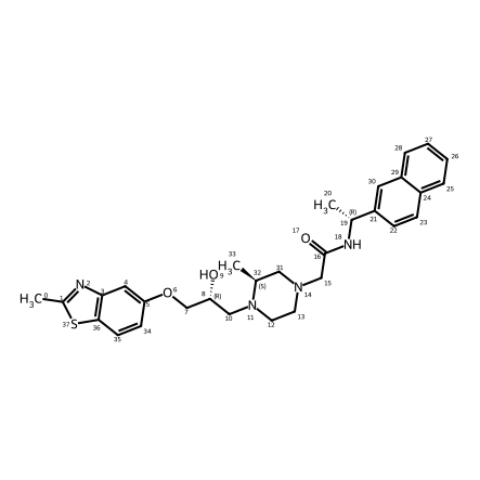 Cc1nc2cc(OC[C@H](O)CN3CCN(CC(=O)N[C@H](C)c4ccc5ccccc5c4)C[C@@H]3C)ccc2s1